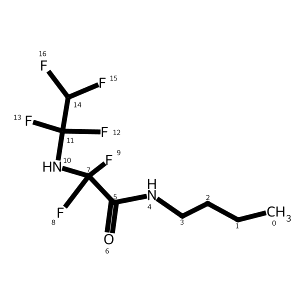 CCCCNC(=O)C(F)(F)NC(F)(F)C(F)F